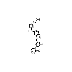 O=C1COCCN1c1cc(F)cc(Cn2ncc3cnc(Nc4ccn(CCO)n4)cc32)c1